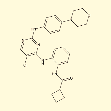 O=C(Nc1ccccc1Nc1nc(Nc2ccc(N3CCOCC3)cc2)ncc1Cl)C1CCC1